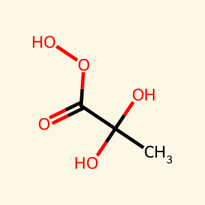 CC(O)(O)C(=O)OO